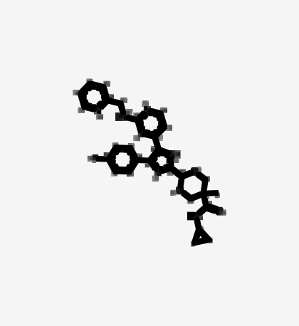 CC1(C(=O)NC2CC2)COC(c2nc(-c3ccc(F)cc3)c(-c3ccnc(NCc4ccccn4)n3)[nH]2)OC1